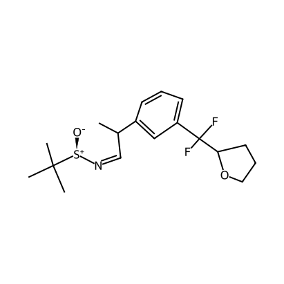 CC(/C=N\[S@+]([O-])C(C)(C)C)c1cccc(C(F)(F)C2CCCO2)c1